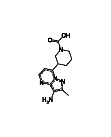 Cc1nn2c(C3CCCN(C(=O)O)C3)ccnc2c1N